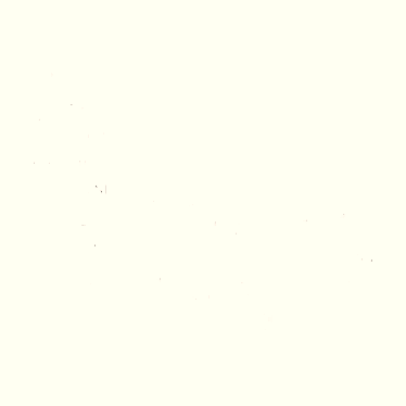 CC(NC(=O)OC(C)(C)C)C(=O)c1ccc(OC(C(=O)O)C2CCOCC2)cc1